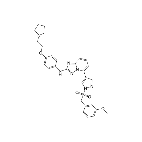 COc1cccc(CS(=O)(=O)n2cc(-c3cccc4nc(Nc5ccc(OCCN6CCCC6)cc5)nn34)cn2)c1